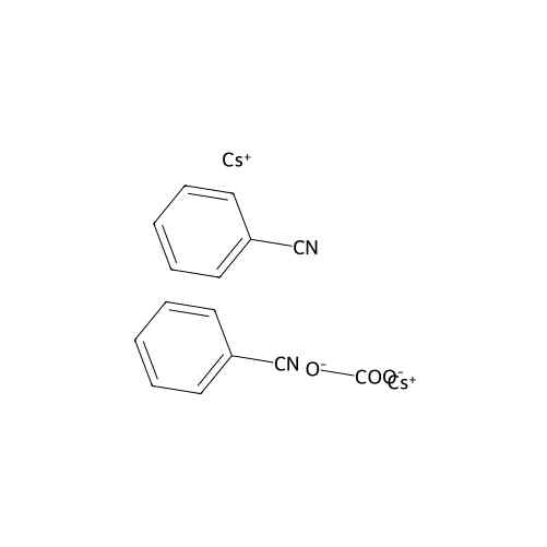 N#Cc1ccccc1.N#Cc1ccccc1.O=C([O-])[O-].[Cs+].[Cs+]